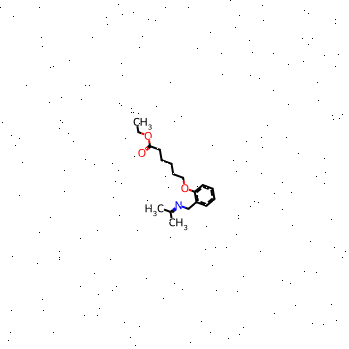 CCOC(=O)CCCCCOc1ccccc1CN=C(C)C